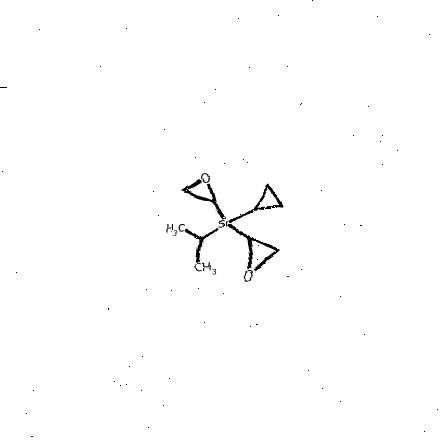 CC(C)[Si](C1CC1)(C1CO1)C1CO1